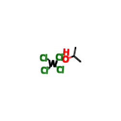 CC(C)O.[Cl][W]([Cl])([Cl])[Cl]